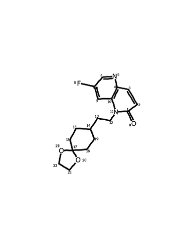 O=c1ccc2ncc(F)cc2n1CCC1CCC2(CC1)OCCO2